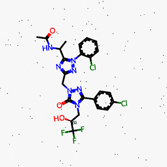 CC(=O)NC(C)c1nc(Cn2nc(-c3ccc(Cl)cc3)n(C[C@H](O)C(F)(F)F)c2=O)nn1-c1ccccc1Cl